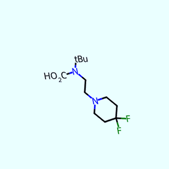 CC(C)(C)N(CCN1CCC(F)(F)CC1)C(=O)O